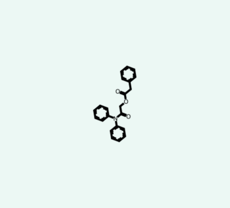 O=C(Cc1ccccc1)OCC(=O)N(c1ccccc1)c1ccccc1